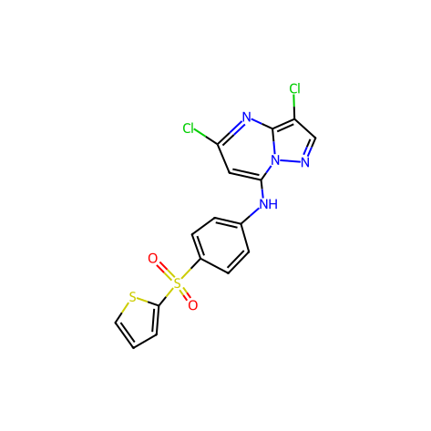 O=S(=O)(c1ccc(Nc2cc(Cl)nc3c(Cl)cnn23)cc1)c1cccs1